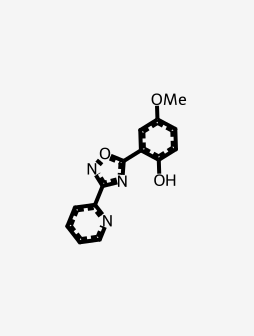 COc1ccc(O)c(-c2nc(-c3ccccn3)no2)c1